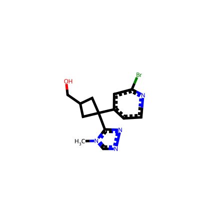 Cn1cnnc1C1(c2ccnc(Br)c2)CC(CO)C1